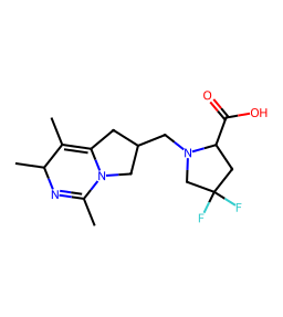 CC1=NC(C)C(C)=C2CC(CN3CC(F)(F)CC3C(=O)O)CN12